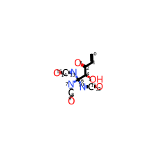 C=CC(=O)C(O)C(N=C=O)(N=C=O)N=C=O